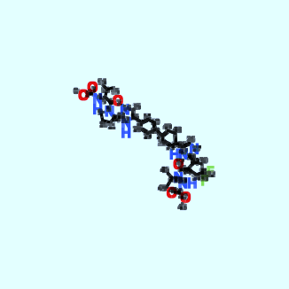 COC(=O)NC(C(=O)N1CCC[C@H]1c1ncc(-c2ccc(-c3ccc(-c4cnc([C@H]5CC(F)(F)C[C@H]5C(=O)N(NC(=O)OC)C(C)C)[nH]4)cc3)cc2)[nH]1)C(C)C